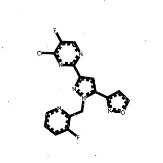 Fc1cnc(-c2cc(-c3ccon3)n(Cc3ncccc3F)n2)nc1Cl